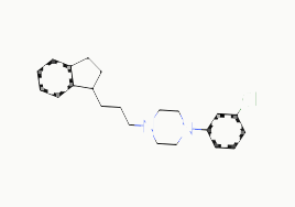 Clc1cccc(N2CCN(CCCC3CCc4ccccc43)CC2)c1